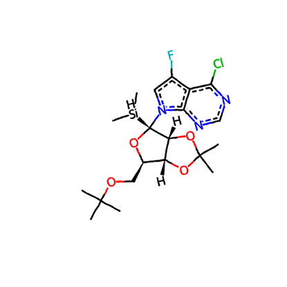 C[SiH](C)[C@]1(n2cc(F)c3c(Cl)ncnc32)O[C@H](COC(C)(C)C)[C@H]2OC(C)(C)O[C@H]21